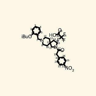 CC(C)COc1ccccc1CN1CCC2(CC1)CCN(C(=O)Cc1ccc([N+](=O)[O-])cc1)C2.O=C(O)C(F)(F)F